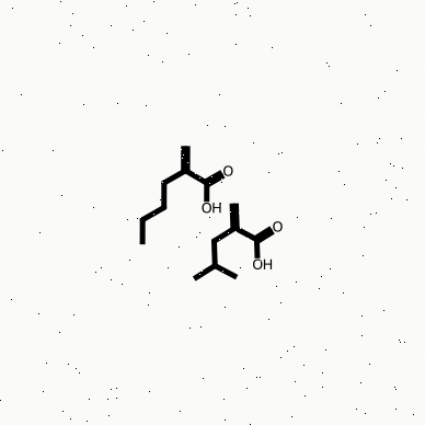 C=C(CC(C)C)C(=O)O.C=C(CCCC)C(=O)O